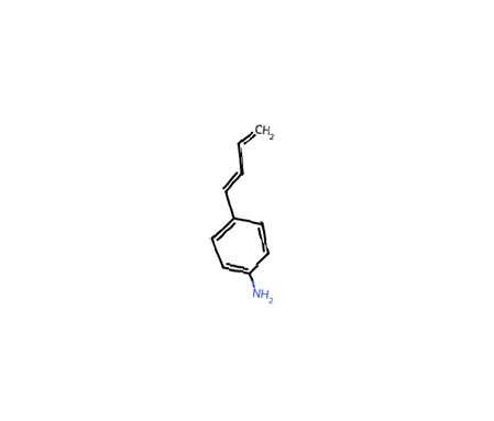 C=CC=Cc1ccc(N)cc1